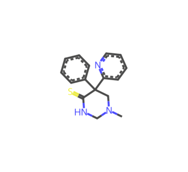 CN1CNC(=S)C(c2ccccc2)(c2ccccn2)C1